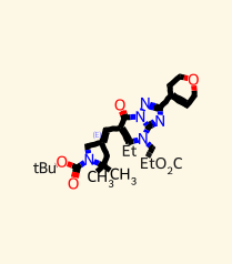 CCOC(=O)Cn1c(CC)c(/C=C2/CN(C(=O)OC(C)(C)C)C(C)(C)C2)c(=O)n2nc(C3=CCOCC3)nc12